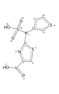 O=C(O)c1csc(N(c2ccsc2)S(=O)(=O)O)n1